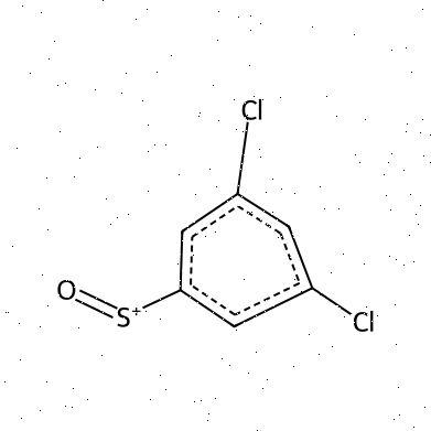 O=[S+]c1cc(Cl)cc(Cl)c1